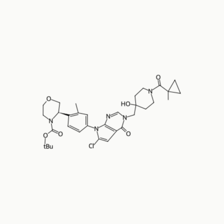 Cc1cc(-n2c(Cl)cc3c(=O)n(CC4(O)CCN(C(=O)C5(C)CC5)CC4)cnc32)ccc1[C@@H]1COCCN1C(=O)OC(C)(C)C